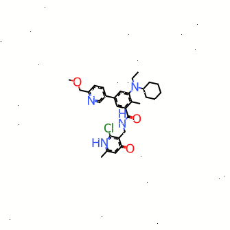 CCN(c1cc(-c2ccc(COC)nc2)cc(C(=O)NCc2c(Cl)[nH]c(C)cc2=O)c1C)C1CCCCC1